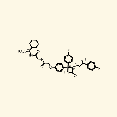 O=C(COc1ccc([C@]2(c3ccc(F)cc3)NC(=O)[C@@H]2SCC(O)c2ccc(F)cc2)cc1)NCC(=O)N[C@@H](C(=O)O)C1CCCCC1